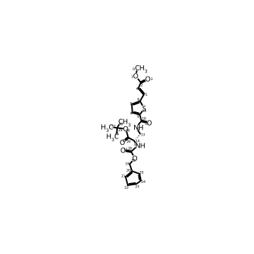 COC(=O)/C=C/c1ccc(C(=O)NC[C@H](NC(=O)OCc2ccccc2)C(=O)OC(C)(C)C)s1